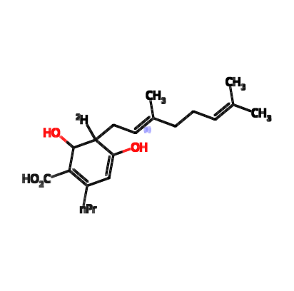 [2H]C1(C/C=C(\C)CCC=C(C)C)C(O)=CC(CCC)=C(C(=O)O)C1O